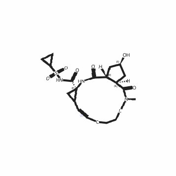 CN1CCCC/C=C\C2C[C@@]2(C(=O)NS(=O)(=O)C2CC2)NC(=O)[C@@H]2C[C@@H](O)C[C@H]2C1=O